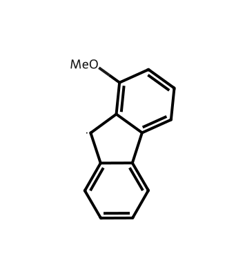 COc1cccc2c1[CH]c1ccccc1-2